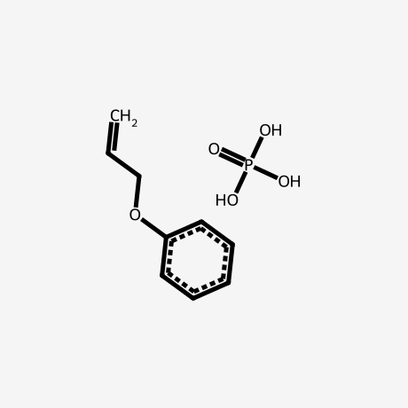 C=CCOc1ccccc1.O=P(O)(O)O